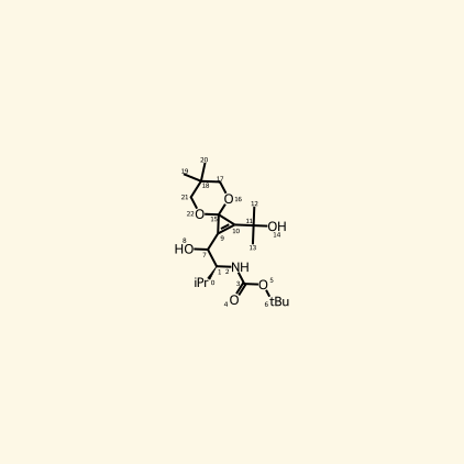 CC(C)[C@H](NC(=O)OC(C)(C)C)C(O)C1=C(C(C)(C)O)C12OCC(C)(C)CO2